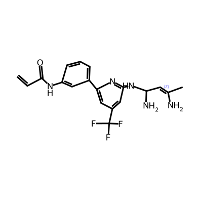 C=CC(=O)Nc1cccc(-c2cc(C(F)(F)F)cc(NC(N)/C=C(/C)N)n2)c1